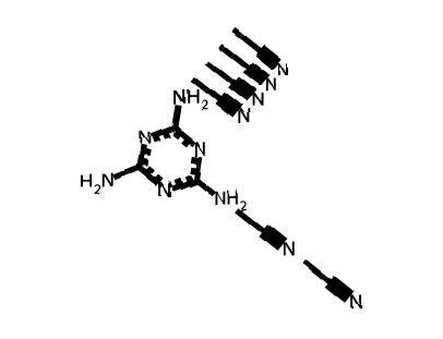 CC#N.CC#N.CC#N.CC#N.CC#N.CC#N.Nc1nc(N)nc(N)n1